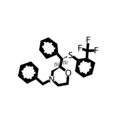 FC(F)(F)c1ccccc1S[C@@H](c1ccccc1)[C@@H]1CN(Cc2ccccc2)CCO1